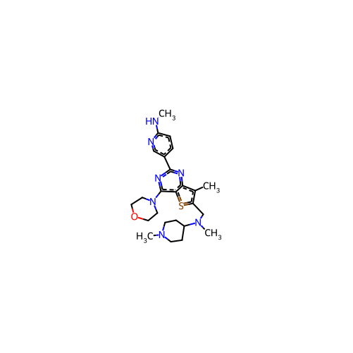 CNc1ccc(-c2nc(N3CCOCC3)c3sc(CN(C)C4CCN(C)CC4)c(C)c3n2)cn1